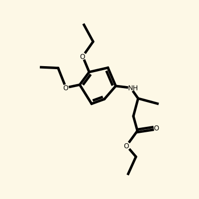 CCOC(=O)CC(C)Nc1ccc(OCC)c(OCC)c1